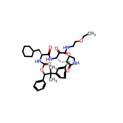 CCOCCNC(=O)C(=O)[C@H](C[C@@H]1CCNC1=O)NC(=O)[C@H](CC1CCCCC1)NC(=O)OC(c1ccccc1)C(C)(C)c1cccc(Cl)c1